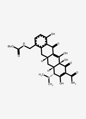 CC(C)COC(=O)NCc1ccc(O)c2c1C[C@H]1C[C@H]3[C@@H](N(C)C)C(O)=C(C(N)=O)C(=O)[C@@]3(O)C(O)=C1C2=O